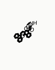 O=C(c1c(O)c2c(c3ccccc13)OC(c1ccccc1)(c1ccccc1)C=C2)C1CNCCO1